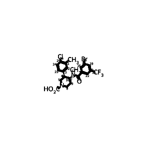 Cc1cc([C@@H]2CN(C(=O)O)CC[C@H]2N(C)C(=O)c2cc(Br)cc(C(F)(F)F)c2)ccc1Cl